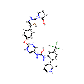 Cc1ncccc1-c1ccc(C(F)(F)F)cc1NC(=O)Nc1cnc(Oc2ccc(-c3cnc(N4CCCC4=O)s3)cc2)nc1